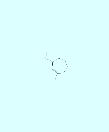 CNC1C=C(C)CCCC1